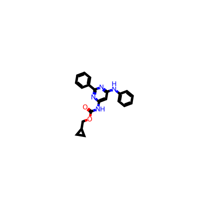 O=C(Nc1cc(Nc2ccccc2)nc(-c2ccccc2)n1)OCC1CC1